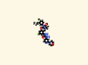 CC1(C)C(=O)N(c2ccc(F)c(C(F)(F)F)c2)C(=O)N1Cc1ccc(F)cc1NC(=O)Nc1ccnc(N2CCOCC2)c1